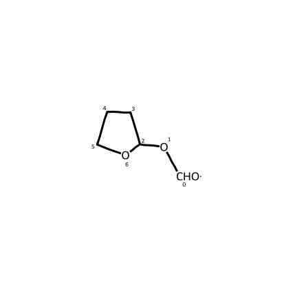 O=[C]OC1CCCO1